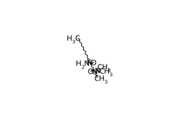 CCCCCCCCCCCCN(N)C(=O)CCC(=O)N(CCC)N(CC)CC